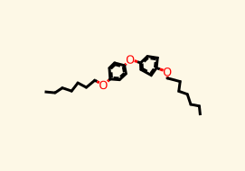 CCCCCCCOc1ccc(Oc2ccc(OCCCCCCC)cc2)cc1